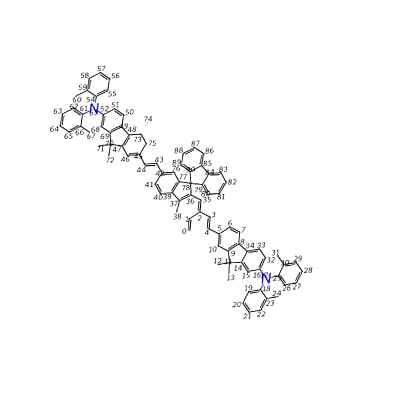 C=CC(/C=C/c1ccc2c(c1)C(C)(C)c1cc(N(c3ccccc3C)c3ccccc3C)ccc1-2)=C\C1=C(C)c2ccc(/C=C/C3=CC4=C(c5ccc(N(c6ccccc6C)c6ccccc6C)cc5C4(C)C)[C@H](C)C3)cc2C12c1ccccc1-c1ccccc12